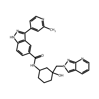 Cc1cc(-c2n[nH]c3ccc(C(=O)NC4CCCC(O)(Cn5cc6cccnc6n5)C4)cc23)ccn1